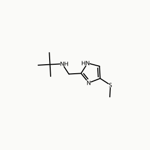 CSc1c[nH]c(CNC(C)(C)C)n1